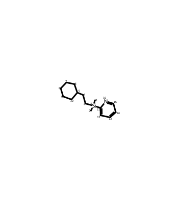 C[Si](C)(CCC1CCCCC1)c1ccccn1